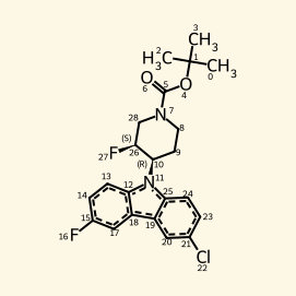 CC(C)(C)OC(=O)N1CC[C@@H](n2c3ccc(F)cc3c3cc(Cl)ccc32)[C@@H](F)C1